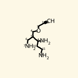 C#CCOCC(CN)C(N)CCN